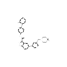 O=C(Nc1ccc(-c2ccccc2F)nc1)c1n[nH]c2ccc(-c3cncc(CN4CCC(F)(F)CC4)c3)cc12